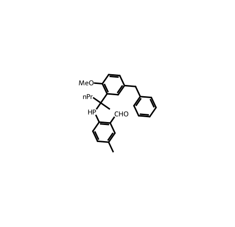 CCCC(C)(Pc1ccc(C)cc1C=O)c1cc(Cc2ccccc2)ccc1OC